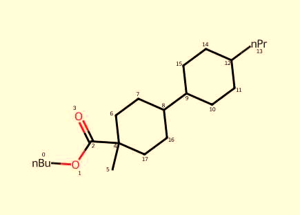 CCCCOC(=O)C1(C)CCC(C2CCC(CCC)CC2)CC1